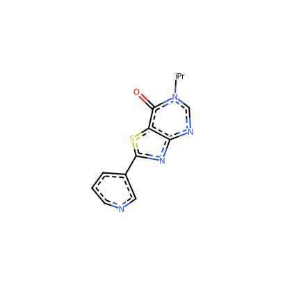 CC(C)n1cnc2nc(-c3cccnc3)sc2c1=O